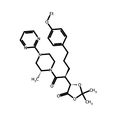 CCOc1ccc(CCC[C@H](C(=O)N2CCN(c3ncccn3)C[C@H]2C)[C@@H]2OC(C)(C)OC2=O)cc1